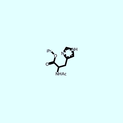 CC(=O)NC(Cc1c[nH]cn1)C(=O)OC(C)C